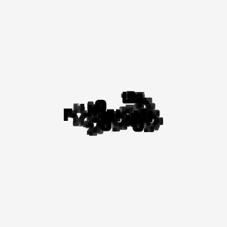 CN(Cc1ccc(F)cc1)C(=O)C(NC(=O)c1ccc2nc(NC(=O)c3ccccc3-c3ccc(C(C)(C)C)cc3)ccc2c1)c1ccccc1